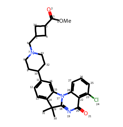 COC(=O)C1CC(CN2CCC(c3ccc4c(c3)-n3c(nc(=O)c5c(Cl)cccc53)C4(C)C)CC2)C1